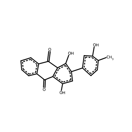 Cc1ccc(-c2cc(O)c3c(c2O)C(=O)c2ccccc2C3=O)cc1O